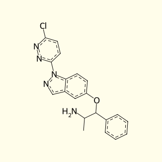 CC(N)C(Oc1ccc2c(cnn2-c2ccc(Cl)nn2)c1)c1ccccc1